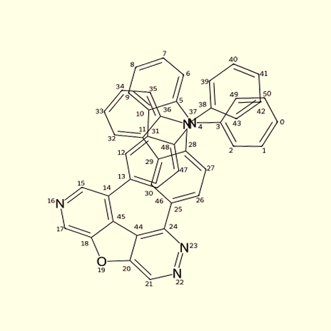 c1ccc(-n2c3ccccc3c3cc(-c4cncc5oc6cnnc(-c7ccc8c(c7)c7ccccc7n8-c7ccccc7)c6c45)ccc32)cc1